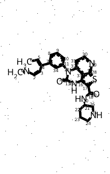 C=N/C=C\C(=C/C)c1cccc(N2C(=O)Nc3c(C(=O)N[C@@H]4CCCNC4)sc4nccc2c34)c1